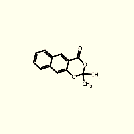 CC1(C)OC(=O)c2cc3ccccc3cc2O1